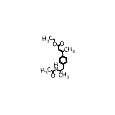 CCOC(=O)C=C(C)c1ccc(C[C@@H](C)NC(C)=O)cc1